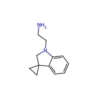 NCCN1CC2(CC2)c2ccccc21